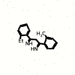 CCc1ccccc1C(=N)CC(=N)c1ccccc1C